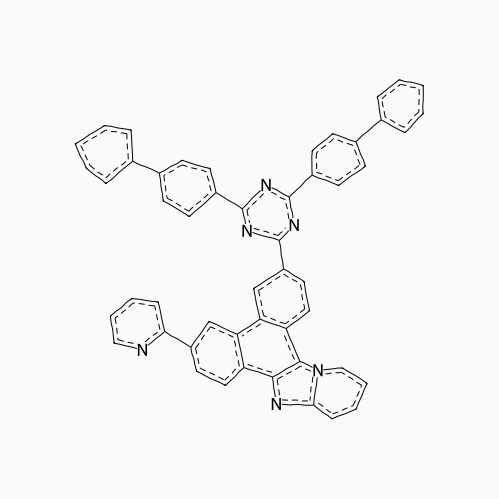 c1ccc(-c2ccc(-c3nc(-c4ccc(-c5ccccc5)cc4)nc(-c4ccc5c(c4)c4cc(-c6ccccn6)ccc4c4nc6ccccn6c54)n3)cc2)cc1